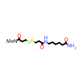 CNC(=O)CCSSCCC(=O)NCCCCCC(N)=O